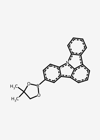 CC1(C)COB(c2ccc3c(c2)c2cccc4c5ccccc5n3c42)O1